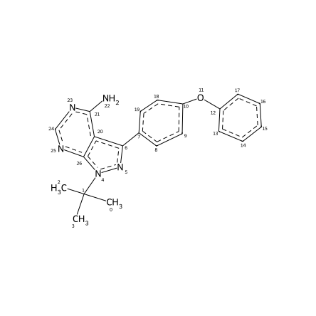 CC(C)(C)n1nc(-c2ccc(Oc3ccccc3)cc2)c2c(N)ncnc21